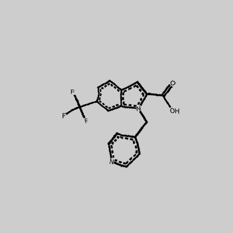 O=C(O)c1cc2ccc(C(F)(F)F)cc2n1Cc1ccncc1